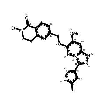 CCN1CCc2nc(COc3nn4c(-c5cc(C)on5)nnc4cc3OC)ccc2C1=O